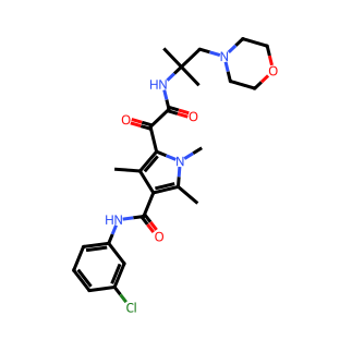 Cc1c(C(=O)Nc2cccc(Cl)c2)c(C)n(C)c1C(=O)C(=O)NC(C)(C)CN1CCOCC1